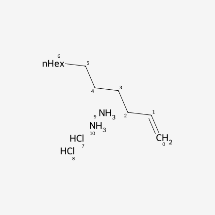 C=CCCCCCCCCCC.Cl.Cl.N.N